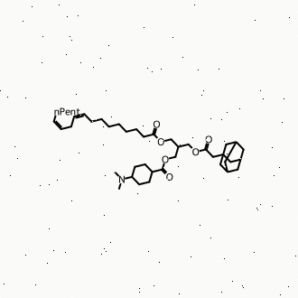 CCCCC/C=C\C/C=C\CCCCCCCC(=O)OCC(COC(=O)CC12CC3CC(CC(C3)C1)C2)COC(=O)C1CCC(N(C)C)CC1